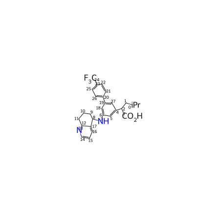 CC(C)CC(C(=O)O)c1cc(NC2CCCc3ncccc32)cc(-c2ccc(C(F)(F)F)cc2)c1